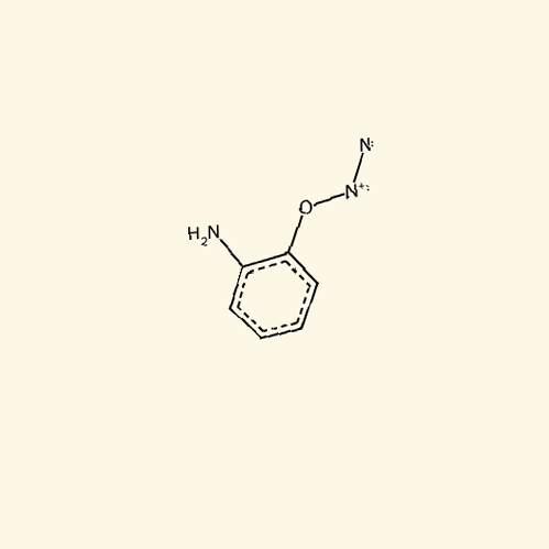 [N][N+]Oc1ccccc1N